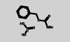 CNC(=O)OCc1ccccc1.O=[PH](O)O